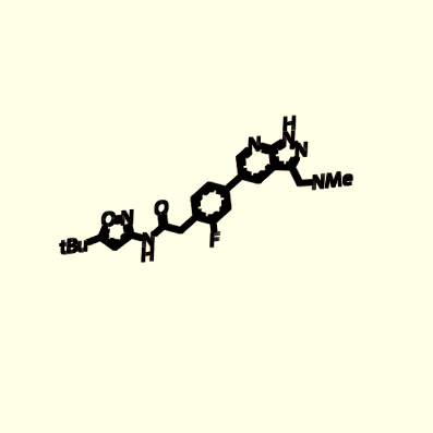 CNCc1n[nH]c2ncc(-c3ccc(CC(=O)Nc4cc(C(C)(C)C)on4)c(F)c3)cc12